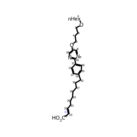 CCCCCCOCCCCOc1cnc(-c2ccc(CCCCCCC/C=C/C(=O)O)cc2)nc1